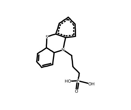 O=P(O)(O)CCCN1c2ccccc2SC2C=CC=CC21